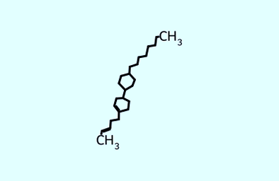 C/C=C/CCC1=CCC(C2CCC(CCCCCCCC)CC2)CC1